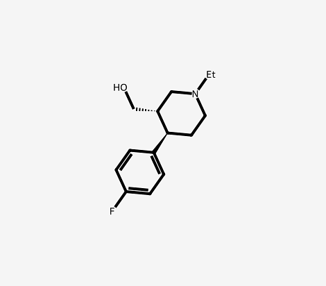 CCN1CC[C@@H](c2ccc(F)cc2)[C@H](CO)C1